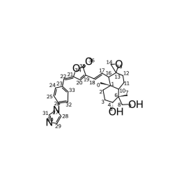 C[C@]12CC[C@@H](O)[C@@](C)(CO)C1CCC1(CO1)C2/C=C/C1=CC(=C\c2ccc(-n3ccnc3)cc2)/OC1=O